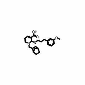 COc1cccc(CCCSC2C(C(=O)O)=CC=CN2CC2CC3CCC2C3)c1